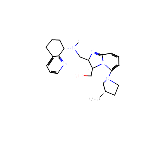 CN[C@@H]1CCN(C2=CC=CC3=NC(CN(C)[C@H]4CCCc5cccnc54)C(CO)N23)C1